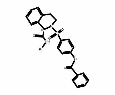 O=C(Oc1ccc(S(=O)(=O)N2CCc3ccccc3[C@@H]2C(=O)NO)cc1)c1ccccc1